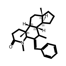 CC1C(=Cc2ccccc2)C2N(C)C(=O)CC[C@]2(C)[C@@H]2CC[C@]3(C)CCC[C@H]3[C@H]12